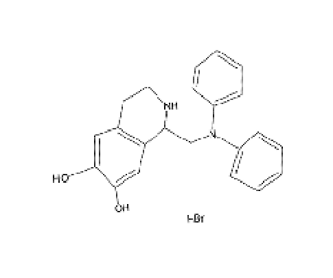 Br.Oc1cc2c(cc1O)C(CN(c1ccccc1)c1ccccc1)NCC2